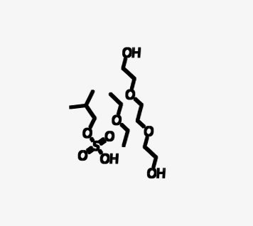 CC(C)COS(=O)(=O)O.CCOCC.OCCOCCOCCO